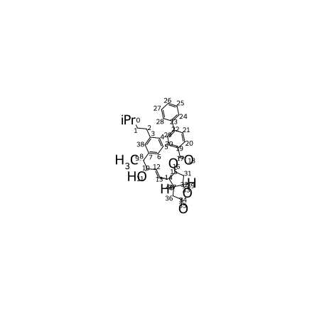 CC(C)CCc1cccc([C@@H](C)C(O)/C=C/[C@H]2C(OC(=O)c3ccc(-c4ccccc4)cc3)C[C@@H]3OC(=O)C[C@@H]32)c1